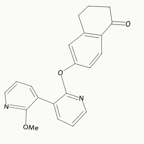 COc1ncccc1-c1cccnc1Oc1ccc2c(c1)CCCC2=O